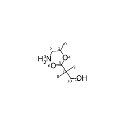 CC(CN)OC(=O)C(C)(C)CO